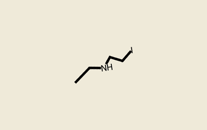 CCNCCI